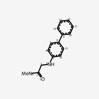 CNC(=O)CNc1ccc(-c2ccccc2)cc1